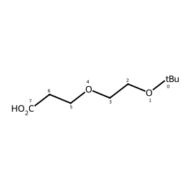 CC(C)(C)OCCOCCC(=O)O